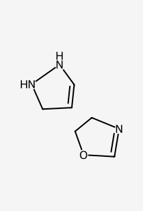 C1=CNNC1.C1=NCCO1